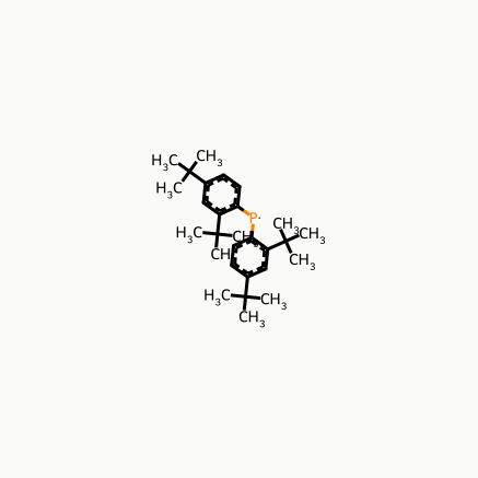 CC(C)(C)c1ccc([P]c2ccc(C(C)(C)C)cc2C(C)(C)C)c(C(C)(C)C)c1